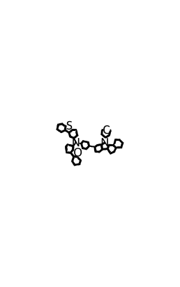 c1ccc(-n2c3cc(-c4ccc(N(c5ccc6sc7ccccc7c6c5)c5cccc6c5oc5ccccc56)cc4)ccc3c3ccc4ccccc4c32)cc1